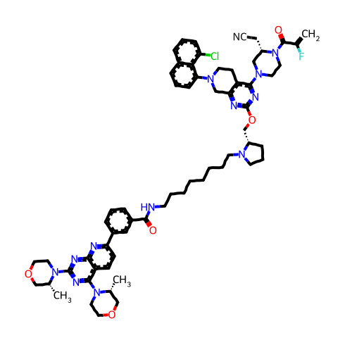 C=C(F)C(=O)N1CCN(c2nc(OC[C@@H]3CCCN3CCCCCCCCNC(=O)c3cccc(-c4ccc5c(N6CCOC[C@H]6C)nc(N6CCOC[C@H]6C)nc5n4)c3)nc3c2CCN(c2cccc4cccc(Cl)c24)C3)C[C@@H]1CC#N